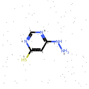 NNc1cc(S)ncn1